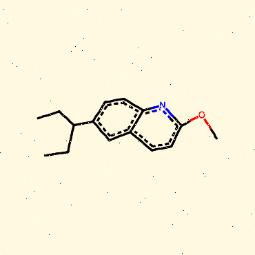 CCC(CC)c1ccc2nc(OC)ccc2c1